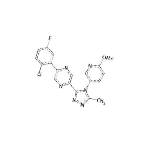 COc1ccc(-n2c(C)nnc2-c2cnc(-c3cc(F)ccc3Cl)cn2)cn1